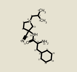 CC(C)CN1CCC(C#N)(NC(=O)C(N)CC2CCCCC2)C1